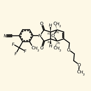 COCCOCC1=C[C@@]2(C)O[C@]1(C)[C@@H]1C(=O)N(c3ccc(C#N)c(C(F)(F)F)c3C)C(=O)[C@@H]12